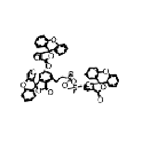 C[Si](C)(C)OS(=O)(=O)CCc1cccc2c1C(=O)OC21c2ccccc2Oc2ccccc21.O=C1OC2(c3ccccc3Oc3ccccc32)c2ccccc21.O=C1OC2(c3ccccc3Oc3ccccc32)c2ccccc21